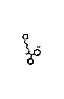 Cl.O=C(OCCCN1CCCC1)C(c1ccccc1)C1C=CCCC1